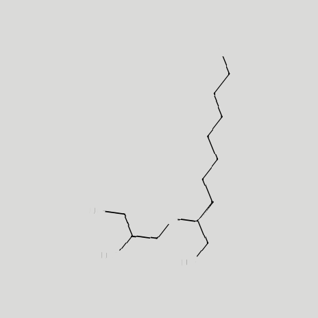 CCCCCCCCC(CO)OCC(C)CO